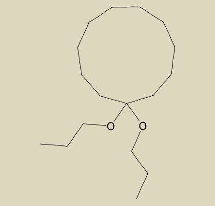 CCCOC1(OCCC)CCCCCCCCCC1